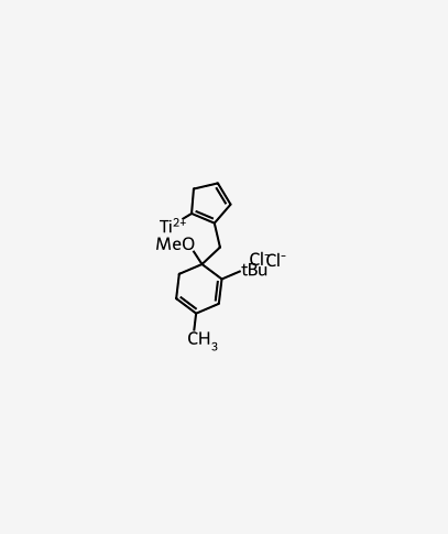 COC1(CC2=[C]([Ti+2])CC=C2)CC=C(C)C=C1C(C)(C)C.[Cl-].[Cl-]